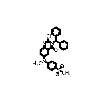 Cc1nc2ccc(N(C)c3ccc(S(C)(=O)=O)cc3)cc2c(=O)n1C(c1ccccc1)c1ccccc1